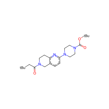 CC(C)(C)CC(=O)N1CCc2nc(N3CCN(C(=O)OC(C)(C)C)CC3)ccc2C1